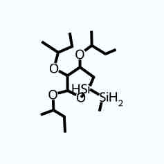 CCC(C)OC1C[SiH]([SiH2]C)OC(OC(C)CC)C1OC(C)CC